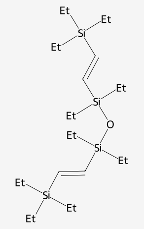 CC[Si](/C=C/[Si](CC)(CC)O[Si](/C=C/[Si](CC)(CC)CC)(CC)CC)(CC)CC